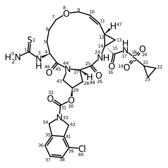 NC(=S)N[C@H]1CCCOC/C=C\[C@@H]2C[C@@]2(C(=O)NS(=O)(=O)C2CC2)NC(=O)[C@@H]2C[C@@H](OC(=O)N3Cc4cccc(Cl)c4C3)CN2C1=O